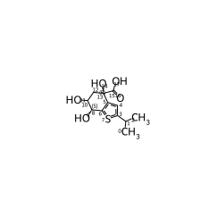 CC(C)c1cc2c(s1)[C@@H](O)C(O)C[C@]2(O)C(=O)O